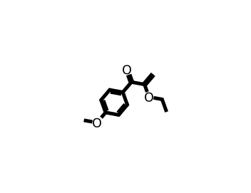 C=C(OCC)C(=O)c1ccc(OC)cc1